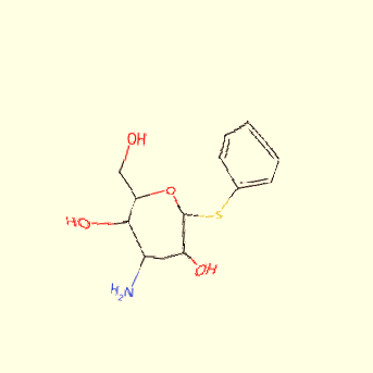 NC1C(O)C(CO)OC(Sc2ccccc2)C1O